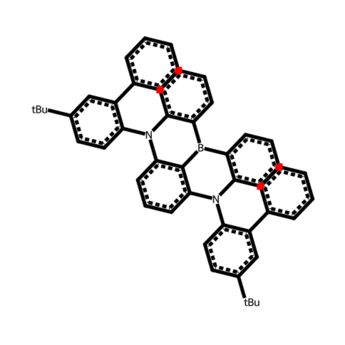 CC(C)(C)c1ccc(N2c3ccccc3B3c4ccccc4N(c4ccc(C(C)(C)C)cc4-c4ccccc4)c4cccc2c43)c(-c2ccccc2)c1